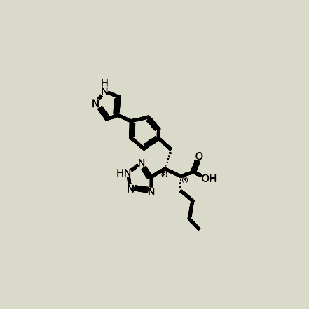 CCCC[C@@H](C(=O)O)[C@@H](Cc1ccc(-c2cn[nH]c2)cc1)c1nn[nH]n1